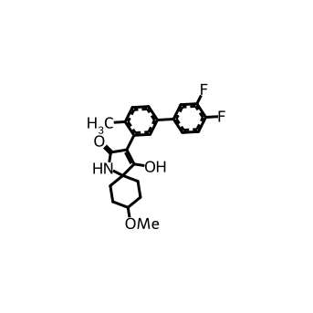 COC1CCC2(CC1)NC(=O)C(c1cc(-c3ccc(F)c(F)c3)ccc1C)=C2O